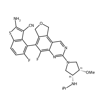 CO[C@H]1CN(c2ncc3c4c(c(-c5c(F)ccc6sc(N)c(C#N)c56)c(F)c3n2)COC4)C[C@H]1NC(C)C